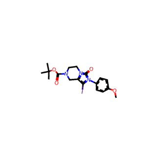 COc1ccc(-n2c(I)c3n(c2=O)CCN(C(=O)OC(C)(C)C)C3)cc1